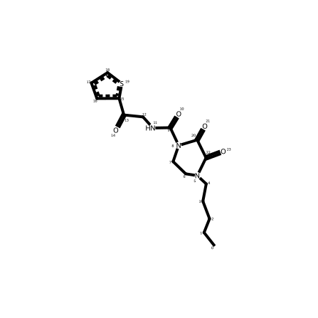 CCCCCN1CCN(C(=O)NCC(=O)c2cccs2)C(=O)C1=O